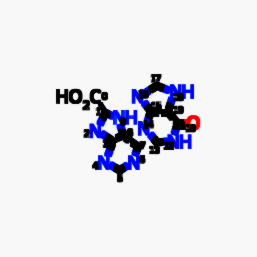 O=C(O)c1nc2ncncc2[nH]1.O=c1[nH]cnc2nc[nH]c12